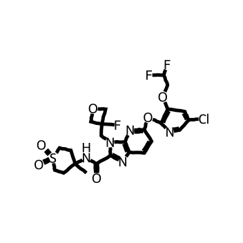 CC1(NC(=O)c2nc3ccc(Oc4ncc(Cl)cc4OCC(F)F)nc3n2CC2(F)COC2)CCS(=O)(=O)CC1